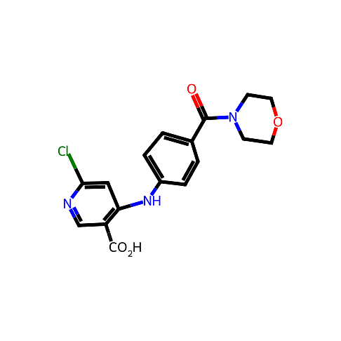 O=C(O)c1cnc(Cl)cc1Nc1ccc(C(=O)N2CCOCC2)cc1